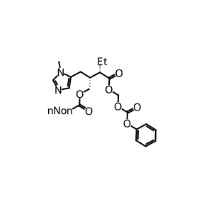 CCCCCCCCCC(=O)OC[C@H](Cc1cncn1C)[C@H](CC)C(=O)OCOC(=O)Oc1ccccc1